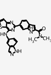 CN(C)C(=O)c1cc2ccc(-c3nc(Nc4ccc5[nH]ncc5c4)c4sccc4n3)cc2[nH]1